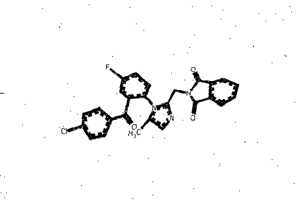 Cc1cnc(CN2C(=O)c3ccccc3C2=O)n1-c1ccc(F)cc1C(=O)c1ccc(Cl)cc1